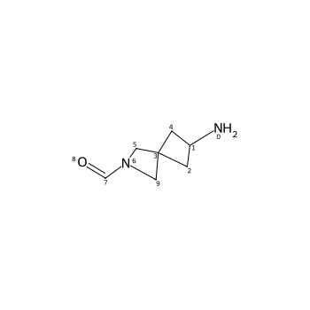 NC1CC2(C1)CN(C=O)C2